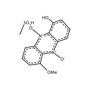 COc1cccc2c1[n+]([O-])c1cccc(O)c1[n+]2[O-].CS(=O)(=O)O